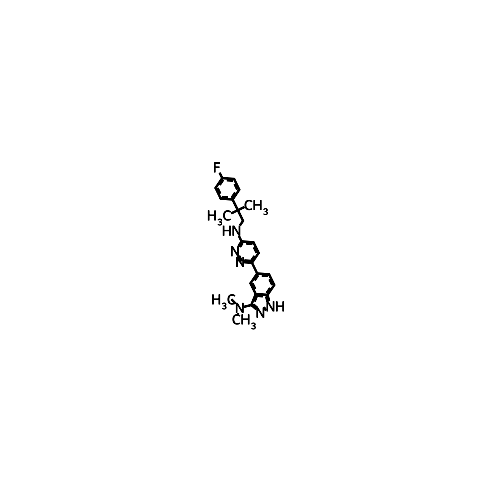 CN(C)c1n[nH]c2ccc(-c3ccc(NCC(C)(C)c4ccc(F)cc4)nn3)cc12